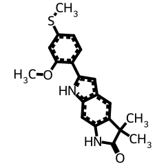 COc1cc(SC)ccc1-c1cc2cc3c(cc2[nH]1)NC(=O)C3(C)C